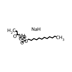 C=CC(=O)NOS(=O)(=O)OCCCCCCCCCCCC.[NaH]